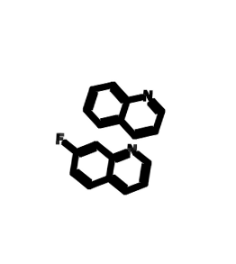 Fc1ccc2cccnc2c1.c1ccc2ncccc2c1